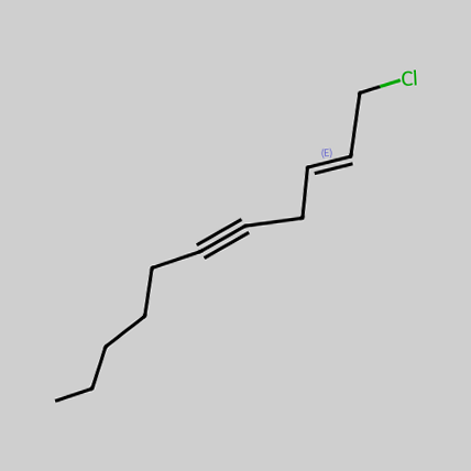 CCCCCC#CC/C=C/CCl